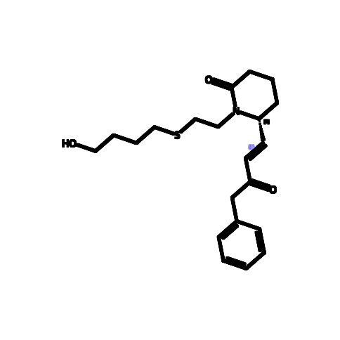 O=C(/C=C/[C@H]1CCCC(=O)N1CCSCCCCO)Cc1ccccc1